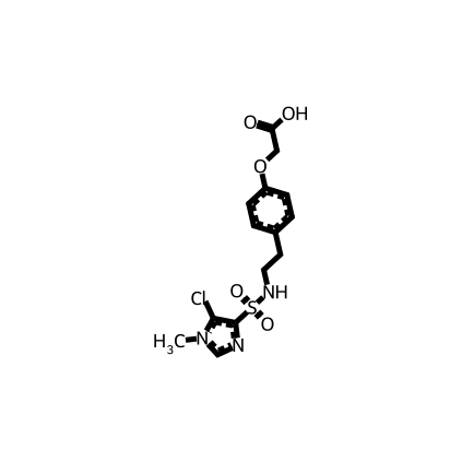 Cn1cnc(S(=O)(=O)NCCc2ccc(OCC(=O)O)cc2)c1Cl